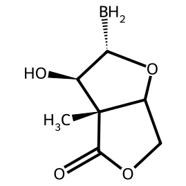 B[C@@H]1OC2COC(=O)[C@]2(C)[C@H]1O